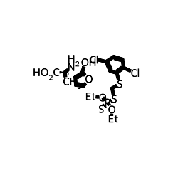 CCOP(=S)(OCC)SCSc1cc(Cl)ccc1Cl.C[C@H](N)C(=O)O.Oc1ccco1